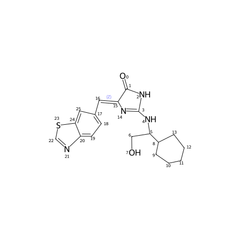 O=C1NC(NC(CO)C2CCCCC2)=N/C1=C\c1ccc2ncsc2c1